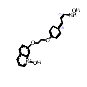 ON/C=C\C=C1\C=CC(OCCOc2ccc3ccc[n+](O)c3c2)=CC1